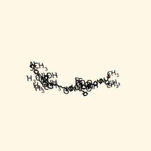 Cc1ncsc1-c1ccc([C@H](C)NC(=O)[C@@H]2C[C@@H](O)CN2C(=O)[C@@H](NC(=O)CCCCCCCC(=O)N2CCN(CC[C@H](CSc3ccccc3)Nc3ccc(S(=O)(=O)NC(=O)c4ccc(N5CCN(CC6=C(C78CC(C)(C7)C8)CC(C)(C)CC6)CC5)cc4)cc3S(=O)(=O)C(F)(F)F)CC2)C(C)(C)C)cc1